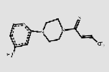 Cc1ccnc(N2CCN(C(=S)C=CC(F)(F)F)CC2)c1